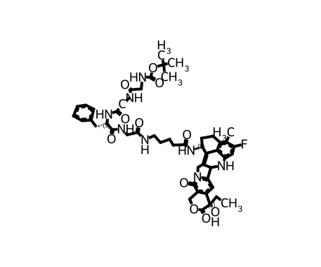 CC[C@@]1(O)C(=O)OCc2c1cc1n(c2=O)CC2=C3c4c(cc(F)c(C)c4CC[C@@H]3NC(=O)CCCCNC(=O)CNC(=O)[C@H](Cc3ccccc3)NC(=O)CNC(=O)CNC(=O)OC(C)(C)C)NC21